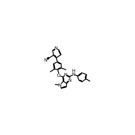 Cc1ccc(Nc2nc(Oc3c(C)cc(-c4ccncc4C#N)cc3C)c3c(ccn3C)n2)cc1